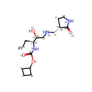 CC(C)C[C@H](NC(=O)OC1CCC1)[C@@H](O)CNC[C@@H]1CCNC1=O